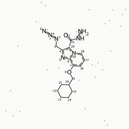 [N-]=[N+]=NCc1nc2c(OCC3CCCCC3)cccn2c1C(=O)NN